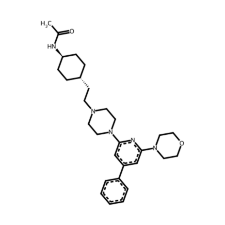 CC(=O)N[C@H]1CC[C@H](CCN2CCN(c3cc(-c4ccccc4)cc(N4CCOCC4)n3)CC2)CC1